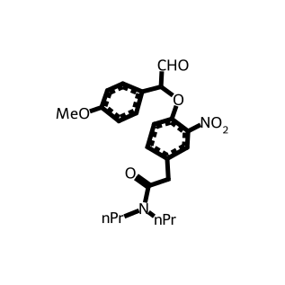 CCCN(CCC)C(=O)Cc1ccc(OC(C=O)c2ccc(OC)cc2)c([N+](=O)[O-])c1